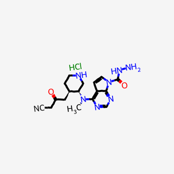 CN(c1ncnc2c1ccn2C(=O)NN)[C@H]1CNCC[C@@H]1CC(=O)CC#N.Cl